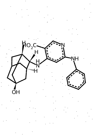 O=C(O)c1cnc(Nc2ccccc2)cc1N[C@@H]1[C@@H]2CC3C[C@H]1C[C@@](O)(C3)C2